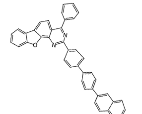 c1ccc(-c2nc(-c3ccc(-c4ccc(-c5ccc6ccccc6c5)cc4)cc3)nc3c2ccc2c4ccccc4oc23)cc1